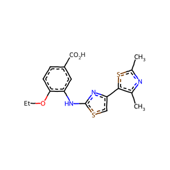 CCOc1ccc(C(=O)O)cc1Nc1nc(-c2sc(C)nc2C)cs1